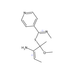 C/C=C(/N)C(C)(OC)S/C(=N\C)c1ccncc1